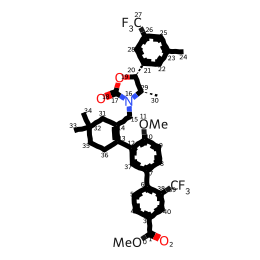 COC(=O)c1ccc(-c2ccc(OC)c(C3=C(CN4C(=O)O[C@H](c5cc(C)cc(C(F)(F)F)c5)[C@@H]4C)CC(C)(C)CC3)c2)c(C(F)(F)F)c1